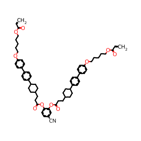 C=CC(=O)OCCCCCOc1ccc(-c2ccc(C3CCC(CCC(=O)Oc4ccc(C#N)cc4OC(=O)CCC4CCC(c5ccc(-c6ccc(OCCCCCOC(=O)C=C)cc6)cc5)CC4)CC3)cc2)cc1